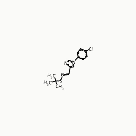 CC(C)(C)SN=Cc1cn(-c2ccc(Cl)cc2)cn1